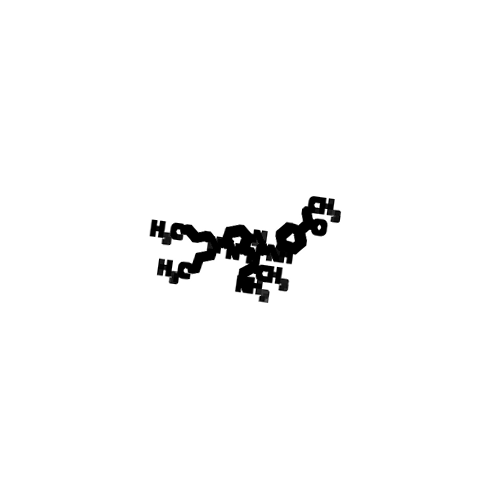 CCCCN(CCCC)c1ccc2nc(Nc3ccc(C(=O)CC)cc3)n(C(C)CN)c2n1